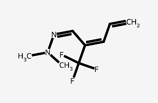 C=C/C=C(\C=N/N(C)C)C(F)(F)F